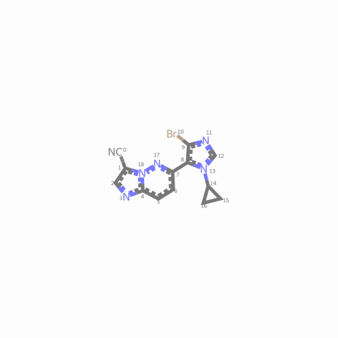 N#Cc1cnc2ccc(-c3c(Br)ncn3C3CC3)nn12